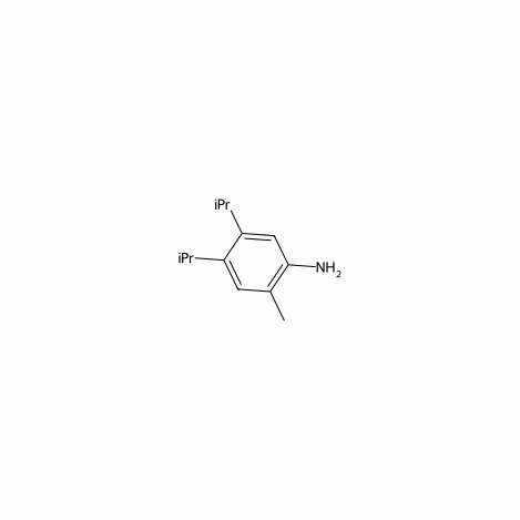 Cc1cc(C(C)C)c(C(C)C)cc1N